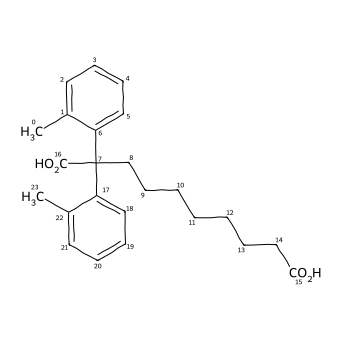 Cc1ccccc1C(CCCCCCCC(=O)O)(C(=O)O)c1ccccc1C